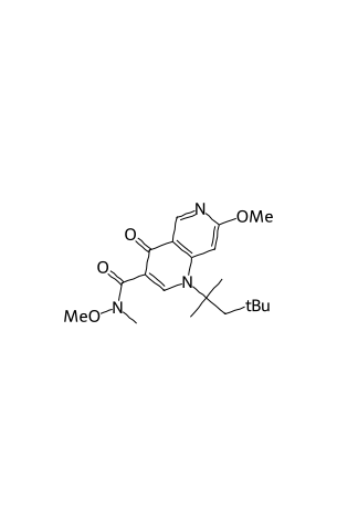 COc1cc2c(cn1)c(=O)c(C(=O)N(C)OC)cn2C(C)(C)CC(C)(C)C